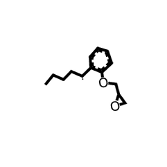 CCCC[CH]c1ccccc1OCC1CO1